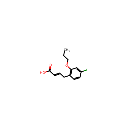 CCCOc1cc(F)ccc1CC=CC(=O)O